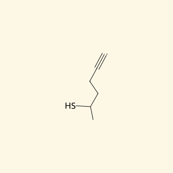 [C]#CCCC(C)S